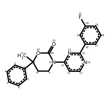 CC1(c2ccccc2)CCN(c2ccnc(-c3cccc(F)c3)n2)C(=O)O1